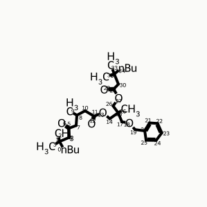 CCCCC(C)(C)CC(=O)CC(C)CC(=O)OCC(C)(COCc1ccccc1)COC(=O)CC(C)(C)CCCC